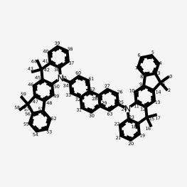 CC1(C)c2ccccc2-c2cc3c(cc21)C(C)(C)c1ccccc1N3c1ccc2c(ccc3cc(N4c5ccccc5C(C)(C)c5cc6c(cc54)-c4ccccc4C6(C)C)ccc32)c1